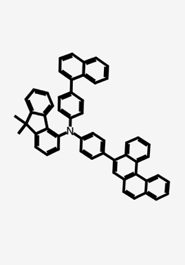 CC1(C)c2ccccc2-c2c(N(c3ccc(-c4cccc5ccccc45)cc3)c3ccc(-c4cc5ccc6ccccc6c5c5ccccc45)cc3)cccc21